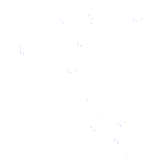 CNC(=O)c1cnc(Nc2ccc(F)nc2)nc1Nc1cccc(-c2ncn(C)n2)c1OC